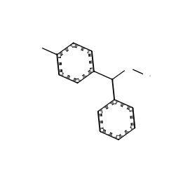 Cc1ccc(C(OO)c2ccccc2)cc1